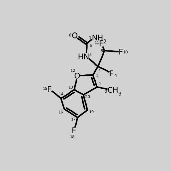 Cc1c(C(F)(NC(N)=O)C(F)F)oc2c(F)cc(F)cc12